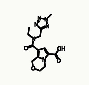 CCN(Cc1nnn(C)n1)C(=O)c1cc(C(=O)O)n2c1COCC2